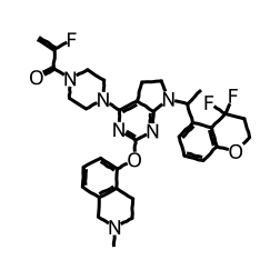 C=C(F)C(=O)N1CCN(c2nc(Oc3cccc4c3CCN(C)C4)nc3c2CCN3C(C)c2cccc3c2C(F)(F)CCO3)CC1